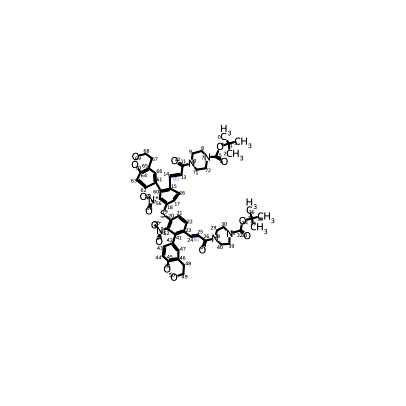 CC(C)(C)OC(=O)N1CCN(C(=O)/C=C/c2ccc(Sc3ccc(/C=C/C(=O)N4CCN(C(=O)OC(C)(C)C)CC4)c(-c4ccc5c(c4)CCOO5)c3[N+](=O)[O-])c([N+](=O)[O-])c2-c2ccc3c(c2)CCOO3)CC1